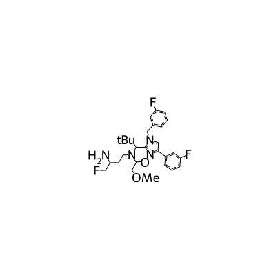 COCC(=O)N(CCC(N)CF)C(c1nc(-c2cccc(F)c2)cn1Cc1cccc(F)c1)C(C)(C)C